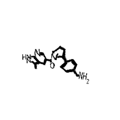 Cc1n[nH]c2ncc(C(=O)N3CCCC3c3ccc(CN)cc3)cc12